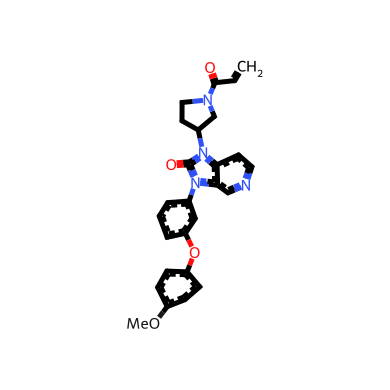 C=CC(=O)N1CCC(n2c(=O)n(-c3cccc(Oc4ccc(OC)cc4)c3)c3cnccc32)C1